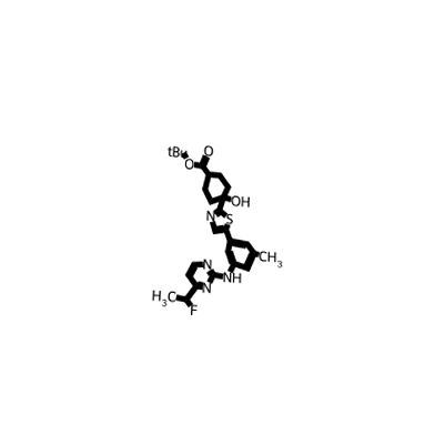 Cc1cc(Nc2nccc(C(C)F)n2)cc(-c2cnc(C3(O)CCC(C(=O)OC(C)(C)C)CC3)s2)c1